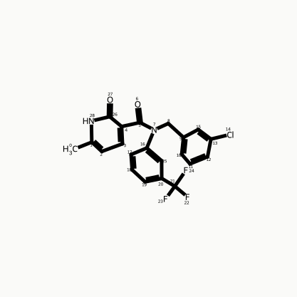 Cc1ccc(C(=O)N(Cc2cccc(Cl)c2)c2cccc(C(F)(F)F)c2)c(=O)[nH]1